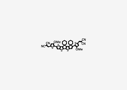 COc1cc(C=C(C#N)C#N)sc1C1=Cc2sc3c(c2C12CCCCC2)C1(CCCCC1)c1c-3sc2cc(-c3sc(C=C(C#N)C#N)cc3OC)sc12